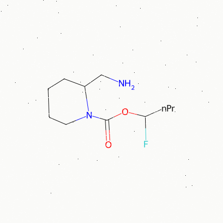 CCCC(F)OC(=O)N1CCCCC1CN